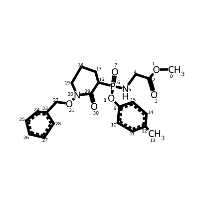 COC(=O)CNP(=O)(Oc1ccc(C)cc1)C1CCCN(OCc2ccccc2)C1=O